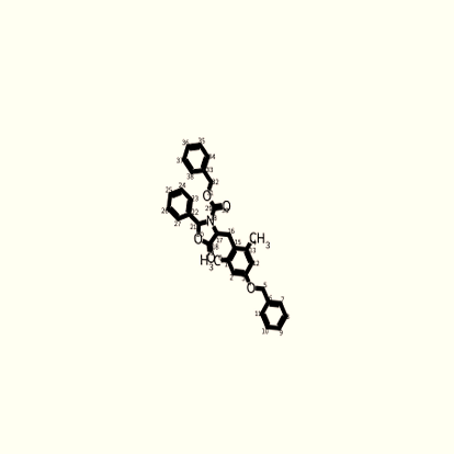 Cc1cc(OCc2ccccc2)cc(C)c1CC1C(=O)OC(c2ccccc2)N1C(=O)OCc1ccccc1